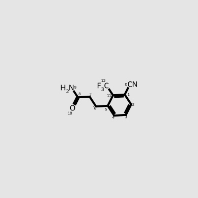 N#Cc1cccc([CH]CC(N)=O)c1C(F)(F)F